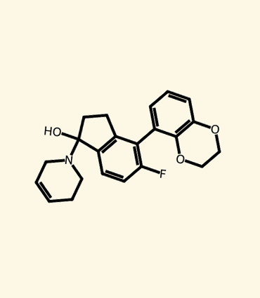 OC1(N2CC=CCC2)CCc2c1ccc(F)c2-c1cccc2c1OCCO2